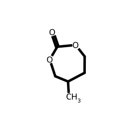 CC1CCOC(=O)OC1